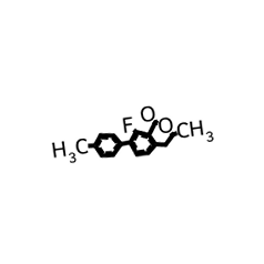 Cc1ccc(-c2ccc3c(c2F)C(=O)OC(C)C3)cc1